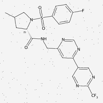 CC1C[C@@H](C(=O)NCc2cc(-c3cnc(C(F)(F)F)nc3)ncn2)N(S(=O)(=O)c2ccc(F)cc2)C1